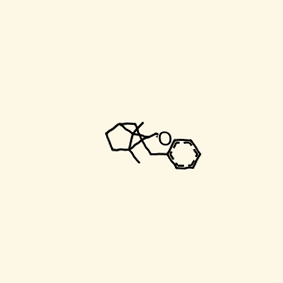 CC1(C)C2CCC1(C)C(C=O)(Cc1ccccc1)C2